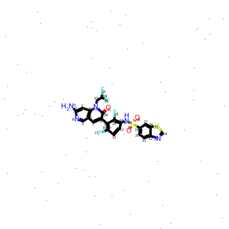 Nc1cc2c(cn1)cc(-c1c(F)ccc(NS(=O)(=O)c3ccc4ncsc4c3)c1F)c(=O)n2CC(F)F